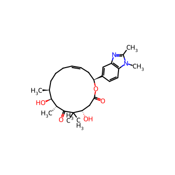 Cc1nc2cc([C@@H]3C/C=C\CCC[C@H](C)[C@H](O)[C@@H](C)C(=O)C(C)(C)[C@@H](O)CC(=O)O3)ccc2n1C